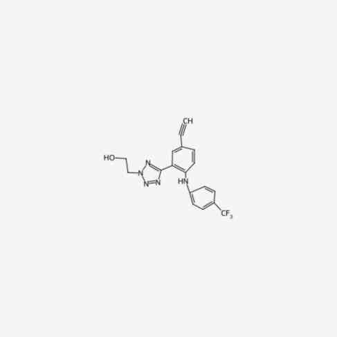 C#Cc1ccc(Nc2ccc(C(F)(F)F)cc2)c(-c2nnn(CCO)n2)c1